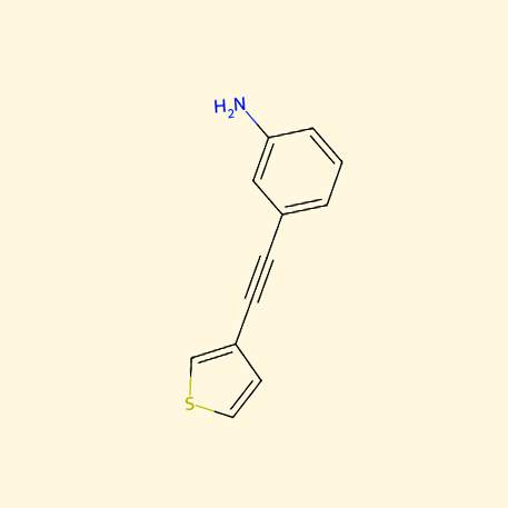 Nc1cccc(C#Cc2ccsc2)c1